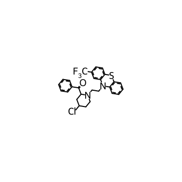 O=C(c1ccccc1)C1CC(Cl)CCN1CCN1c2ccccc2Sc2ccc(C(F)(F)F)cc21